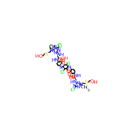 CN(CCSCCO)c1nc(Cl)nc(NCCNc2ccc3c(c2S(=O)(=O)O)Oc2c(Cl)c4c(c(Cl)c2=N3)Oc2c(ccc(NCCNc3nc(Cl)nc(N(C)CCSCCO)n3)c2S(=O)(=O)O)N=4)n1